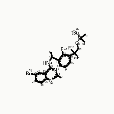 Cc1nc(NC(C)c2cccc(C(F)(F)CO[Si](C)(C)C(C)(C)C)c2F)c2cc(Br)ccc2n1